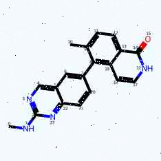 CNc1ncc2cc(-c3c(C)ccc4c(=O)[nH]ccc34)ccc2n1